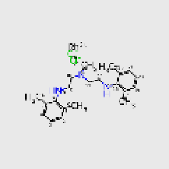 Cc1cccc(C)c1NCCN(C)CCNc1c(C)cccc1C.[Cl-].[Cl-].[Rh+2]